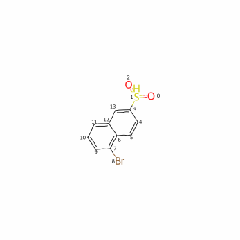 O=[SH](=O)c1ccc2c(Br)cccc2c1